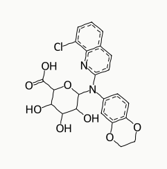 O=C(O)C1OC(N(c2ccc3c(c2)OCCO3)c2ccc3cccc(Cl)c3n2)C(O)C(O)C1O